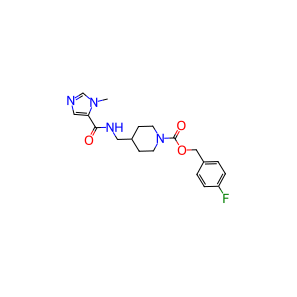 Cn1cncc1C(=O)NCC1CCN(C(=O)OCc2ccc(F)cc2)CC1